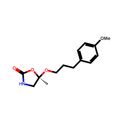 COc1ccc(CCCO[C@@]2(C)CNC(=O)O2)cc1